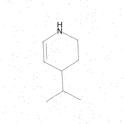 CC(C)C1C=CNCC1